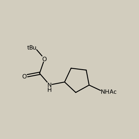 CC(=O)NC1CCC(NC(=O)OC(C)(C)C)C1